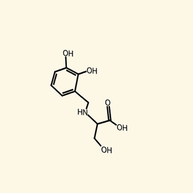 O=C(O)C(CO)NCc1cccc(O)c1O